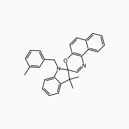 Cc1cccc(CN2c3ccccc3C(C)(C)C23C=Nc2c(ccc4ccccc24)O3)c1